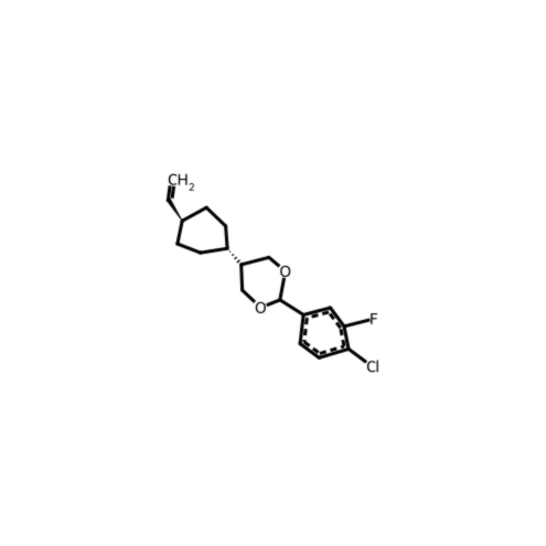 C=C[C@H]1CC[C@H](C2COC(c3ccc(Cl)c(F)c3)OC2)CC1